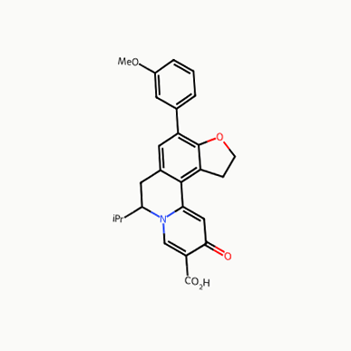 COc1cccc(-c2cc3c(c4c2OCC4)-c2cc(=O)c(C(=O)O)cn2C(C(C)C)C3)c1